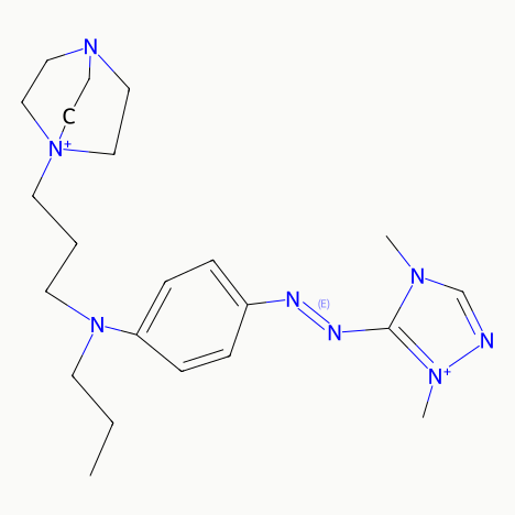 CCCN(CCC[N+]12CCN(CC1)CC2)c1ccc(/N=N/c2n(C)cn[n+]2C)cc1